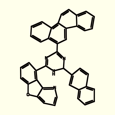 c1ccc2cc(C3N=C(c4cc5c6ccccc6ccc5c5ccccc45)N=C(c4cccc5oc6cccnc6c45)N3)ccc2c1